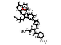 C=C(/C=N\C(=C\c1c(CC(C)(C)CO)c2cc(-c3csc(C[C@H](NC(=O)OC(C)(C)C)C(=O)N4CCC[C@@H](C(=O)O)N4)n3)c(F)cc2n1CC(F)(F)F)[C@H](C)OC)N1CCOCC1